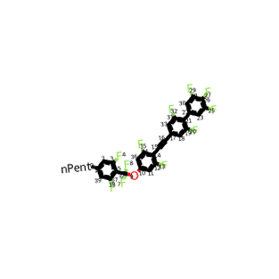 CCCCCc1cc(F)c(C(F)(F)Oc2cc(F)c(C#Cc3cc(F)c(-c4cc(F)c(F)c(F)c4)c(F)c3)c(F)c2)c(F)c1